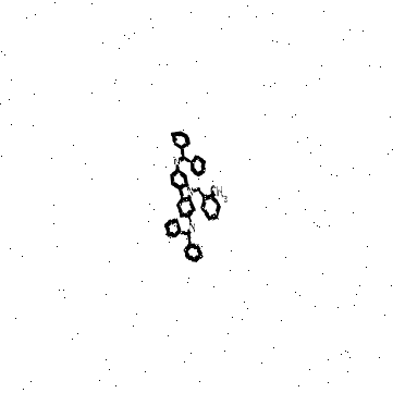 Cc1ccccc1Cn1c2cc(N=C(c3ccccc3)c3ccccc3)ccc2c2ccc(N=C(c3ccccc3)c3ccccc3)cc21